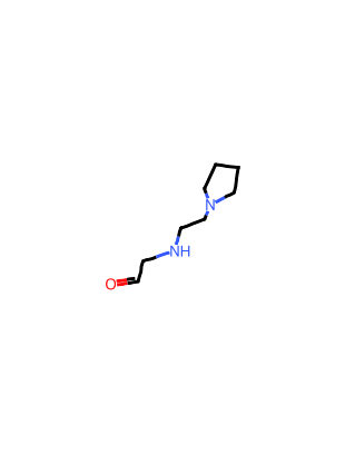 O=CCNCCN1CCCC1